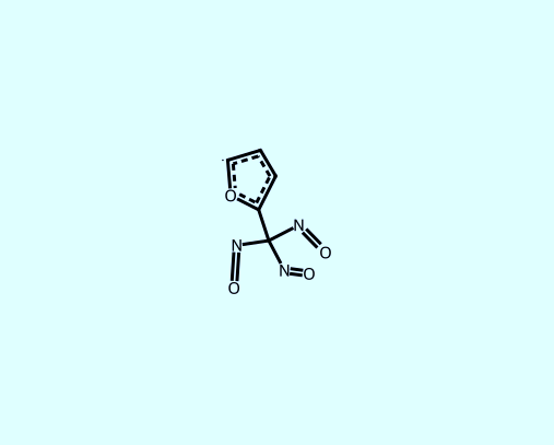 O=NC(N=O)(N=O)c1cc[c]o1